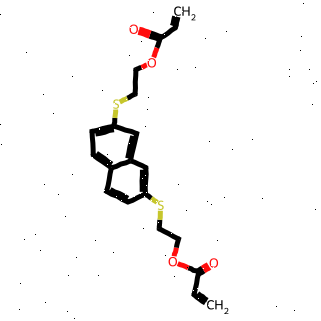 C=CC(=O)OCCSc1ccc2ccc(SCCOC(=O)C=C)cc2c1